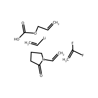 C=C(F)F.C=CCOC(=O)O.C=CN1CCCC1=O.[Li][CH]=C